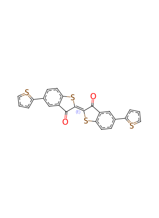 O=C1/C(=C2\Sc3ccc(-c4cccs4)cc3C2=O)Sc2ccc(-c3cccs3)cc21